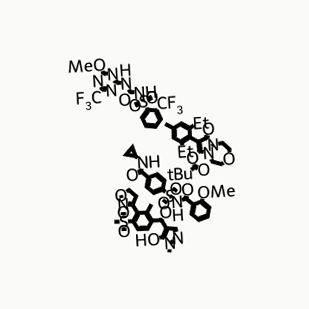 CCc1cc(C)cc(CC)c1-c1c(OC(=O)C(C)(C)C)n2n(c1=O)CCOCC2.COc1ccccc1C(=O)NS(=O)(=O)c1ccc(C(=O)NC2CC2)cc1.COc1nc(NC(=O)NS(=O)(=O)c2ccccc2C(F)(F)F)nc(C(F)(F)F)n1.Cc1c(C(=O)c2cnn(C)c2O)ccc(S(C)(=O)=O)c1C1=NOCC1